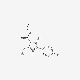 CCOC(=O)c1c(CBr)n(C)n(-c2ccc(F)cc2)c1=O